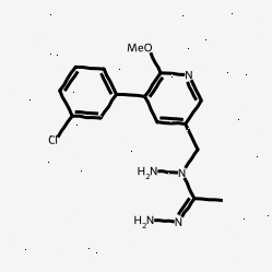 COc1ncc(CN(N)/C(C)=N\N)cc1-c1cccc(Cl)c1